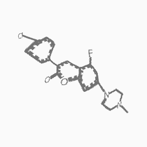 CN1CCN(c2cc(F)c3cc(-c4ccc(Cl)cc4)c(=O)oc3c2)CC1